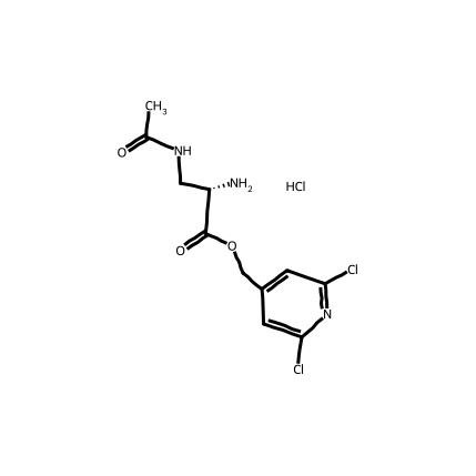 CC(=O)NC[C@H](N)C(=O)OCc1cc(Cl)nc(Cl)c1.Cl